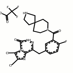 O=C(O)C(F)(F)F.O=C(c1cc(Cc2n[nH]c(=O)n3c(Cl)c(Cl)nc23)ccc1F)N1CCC2(CCNC2)CC1